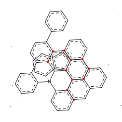 c1ccc(-c2ccc(-c3ccccc3N(c3ccccc3-c3cccc4cccc(-c5ccccc5)c34)c3ccccc3-c3cccc4sc5ccccc5c34)cc2)cc1